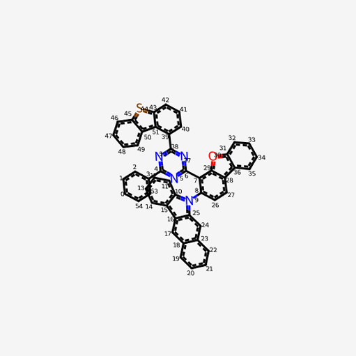 c1ccc(-c2nc(-c3c(-n4c5ccccc5c5cc6ccccc6cc54)ccc4c3oc3ccccc34)nc(-c3cccc4sc5ccccc5c34)n2)cc1